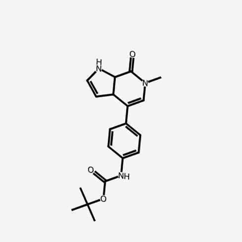 CN1C=C(c2ccc(NC(=O)OC(C)(C)C)cc2)C2C=CNC2C1=O